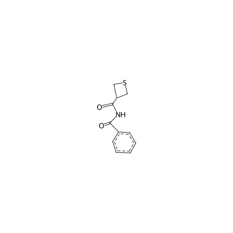 O=C(NC(=O)C1CSC1)c1ccccc1